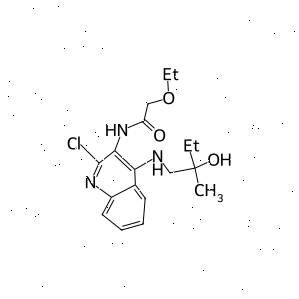 CCOCC(=O)Nc1c(Cl)nc2ccccc2c1NCC(C)(O)CC